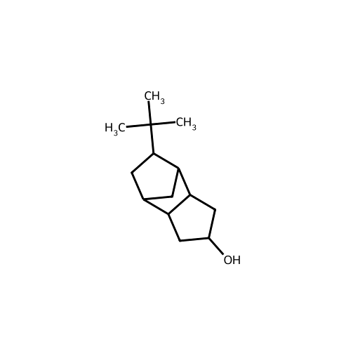 CC(C)(C)C1CC2CC1C1CC(O)CC21